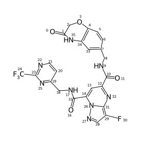 O=C1COc2ccc(CNC(=O)c3cc(C(=O)NCc4ccnc(C(F)(F)F)n4)n4ncc(F)c4n3)cc2N1